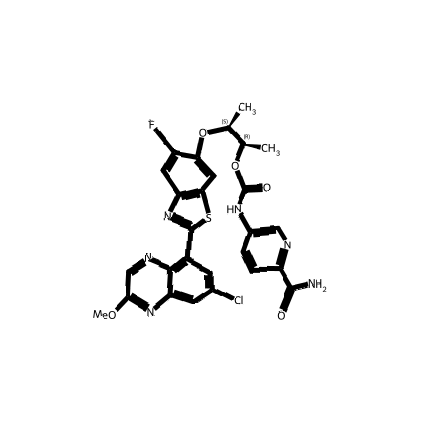 COc1cnc2c(-c3nc4cc(F)c(O[C@@H](C)[C@@H](C)OC(=O)Nc5ccc(C(N)=O)nc5)cc4s3)cc(Cl)cc2n1